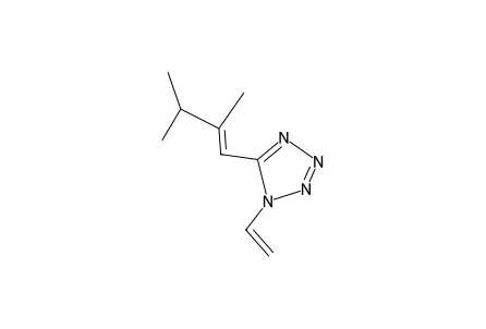 C=Cn1nnnc1/C=C(\C)C(C)C